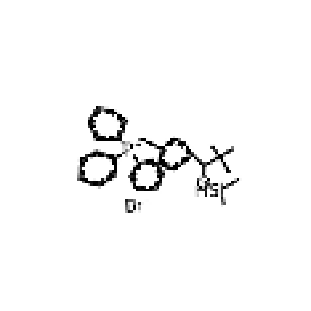 C[SiH](C)OC(c1ccc(C[P+](c2ccccc2)(c2ccccc2)c2ccccc2)cc1)C(C)(C)C.[Br-]